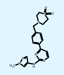 Cn1cc(Nc2nccc(-c3ccc(CN4CCS(=O)(=O)CC4)cc3)n2)cn1